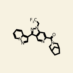 O=C(c1cc2c(cn1)c(-c1cnn3ccccc13)nn2CC(F)(F)F)N1CC2CCC(C2)C1